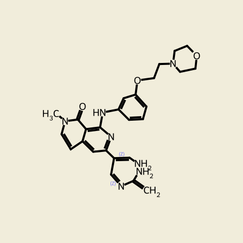 C=C(N)/N=C\C(=C/N)c1cc2ccn(C)c(=O)c2c(Nc2cccc(OCCN3CCOCC3)c2)n1